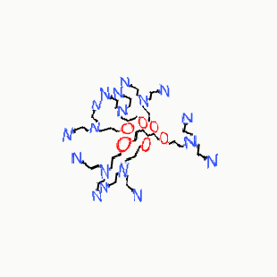 N#CCCN(CCC#N)CCCOCC(OCCCN(CCC#N)CCC#N)C(OCCCN(CCC#N)CCC#N)C(OCCCN(CCC#N)CCC#N)C(COCCCN(CCC#N)CCC#N)OCCCN(CCC#N)CCC#N